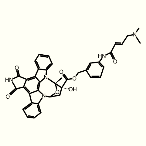 CN(C)C/C=C/C(=O)Nc1cccc(COC(=O)[C@@]2(O)CC3O[C@]2(C)n2c4ccccc4c4c5c(c6c7ccccc7n3c6c42)C(=O)NC5=O)c1